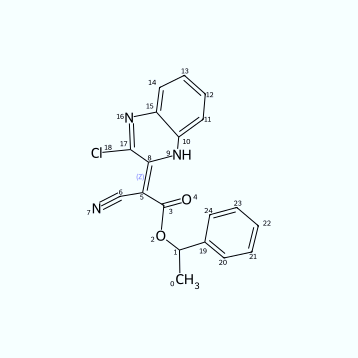 CC(OC(=O)/C(C#N)=C1\Nc2ccccc2N=C1Cl)c1ccccc1